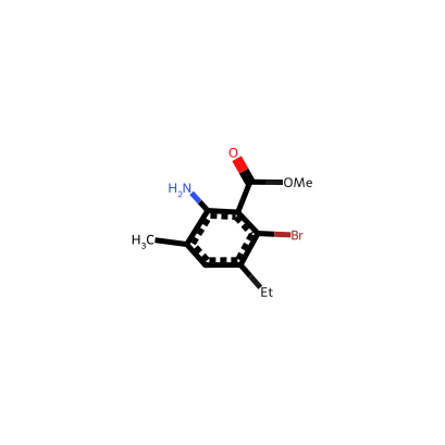 CCc1cc(C)c(N)c(C(=O)OC)c1Br